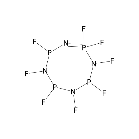 FN1P(F)N=P(F)(F)N(F)P(F)N(F)P1F